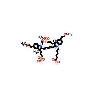 COCCc1ccc2c(c1)C(C)(CCCS(=O)(=O)O)C(/C=C/C=C/C=C1/N(CCCCCC(=O)O)c3ccc(CCOC)cc3C1(C)CCCS(=O)(=O)[O-])=[N+]2CCOC